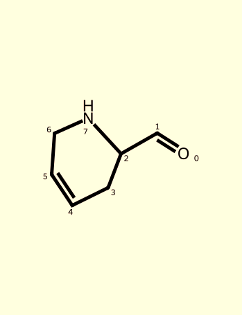 O=CC1CC=CCN1